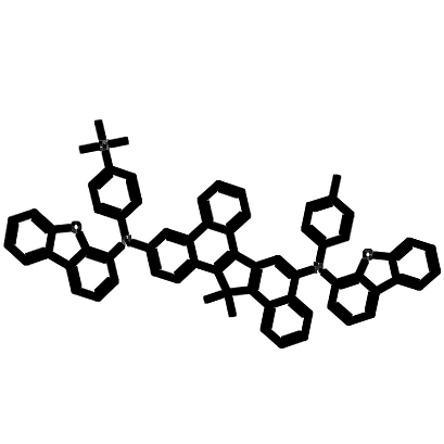 Cc1ccc(N(c2cc3c(c4ccccc24)C(C)(C)c2c-3c3ccccc3c3cc(N(c4ccc([Si](C)(C)C)cc4)c4cccc5c4oc4ccccc45)ccc23)c2cccc3c2oc2ccccc23)cc1